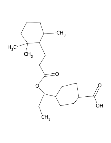 CCC(OC(=O)CCC1C(C)CCCC1(C)C)C1CCC(C(=O)O)CC1